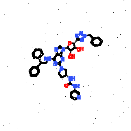 O=C(Nc1cccnc1)N[C@@H]1CCN(c2nc(NCC(c3ccccc3)c3ccccc3)c3ncn([C@@H]4O[C@H](c5nnn(Cc6ccccc6)n5)[C@@H](O)[C@H]4O)c3n2)C1